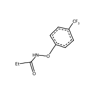 CCC(=O)NOc1ccc(C(F)(F)F)cc1